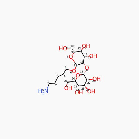 NCCCCCO[C@H]1O[C@H](CO)[C@@H](O)[C@H](O)[C@@H]1O[C@H]1O[C@H](CO)[C@@H](O)[C@H](O)[C@@H]1O